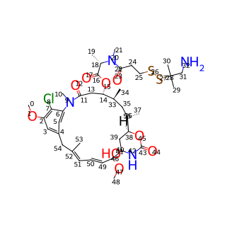 COc1cc2cc(c1Cl)N(C)C(=O)C[C@H](OC(=O)[C@H](C)N(C)C(=O)CCSSC(C)(C)CN)[C@@H](C)C[C@H](C)[C@@H]1C[C@@](O)(NC(=O)O1)[C@H](OC)/C=C/C=C(\C)C2